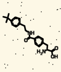 CC(C)(C)c1ccc(CCNC(=O)c2ccc(C[C@H](N)C(=O)O)cc2)cc1